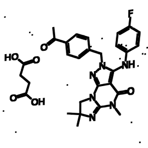 CC(=O)c1ccc(Cn2nc3c(c2Nc2ccc(F)cc2)C(=O)N(C)C2=NC(C)(C)CN23)cc1.O=C(O)CCC(=O)O